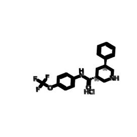 Cl.O=C(Nc1ccc(OC(F)(F)F)cc1)[C@H]1CNC[C@H](c2ccccc2)C1